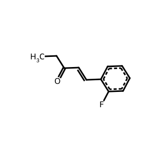 CCC(=O)/C=C/c1ccccc1F